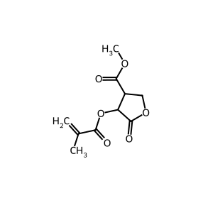 C=C(C)C(=O)OC1C(=O)OCC1C(=O)OC